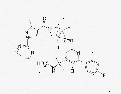 Cc1nn(-c2ncccn2)cc1C(=O)N1C[C@@H]2[C@H](C1)[C@@H]2Oc1cc(C(C)(C)NC(=O)O)c(Cl)c(-c2ccc(F)cc2)n1